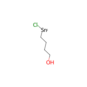 OCCC[CH2][Sn][Cl]